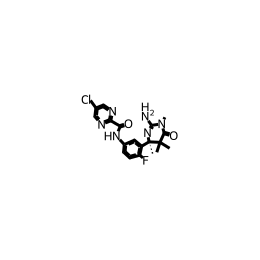 CN1C(=O)C(C)(C)[C@@](C)(c2cc(NC(=O)c3ncc(Cl)cn3)ccc2F)N=C1N